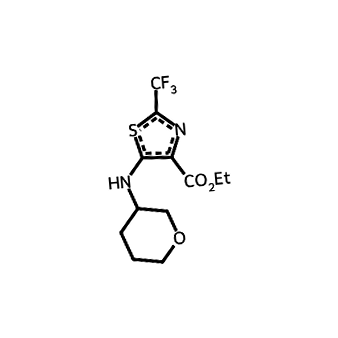 CCOC(=O)c1nc(C(F)(F)F)sc1NC1CCCOC1